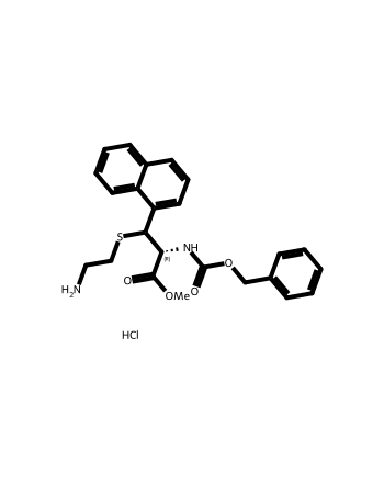 COC(=O)[C@@H](NC(=O)OCc1ccccc1)C(SCCN)c1cccc2ccccc12.Cl